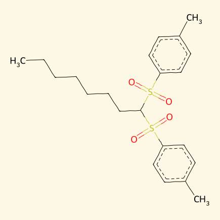 CCCCCCCC(S(=O)(=O)c1ccc(C)cc1)S(=O)(=O)c1ccc(C)cc1